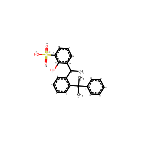 CC(c1ccccc1C(C)(C)c1ccccc1)c1cccc(S(=O)(=O)O)c1O